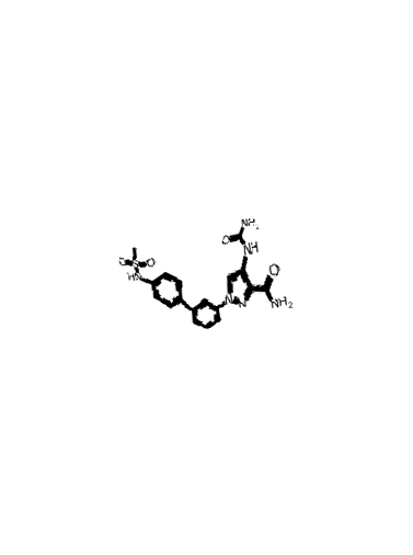 CS(=O)(=O)Nc1ccc(-c2cccc(-n3cc(NC(N)=O)c(C(N)=O)n3)c2)cc1